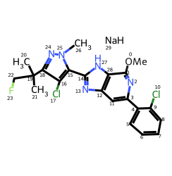 COc1nc(-c2ccccc2Cl)cc2nc(-c3c(Cl)c(C(C)(C)CF)nn3C)[nH]c12.[NaH]